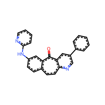 O=c1c2cc(Nc3ccccn3)ccc2ccc2ncc(-c3ccccc3)cc12